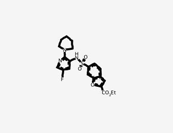 CCOC(=O)c1cc2ccc(S(=O)(=O)Nc3cc(F)cnc3N3CCCCC3)cc2o1